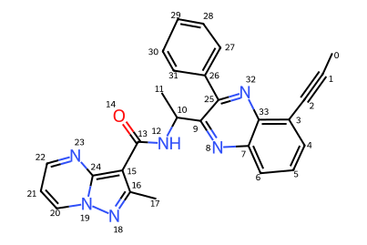 CC#Cc1cccc2nc(C(C)NC(=O)c3c(C)nn4cccnc34)c(-c3ccccc3)nc12